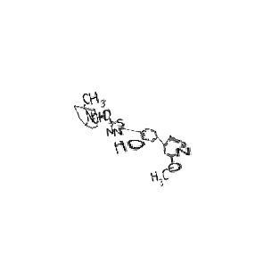 COc1cc(-c2ccc(-c3nnc(O[C@H]4CC5CC[C@](C)(C4)N5C)s3)c(O)c2)ccn1